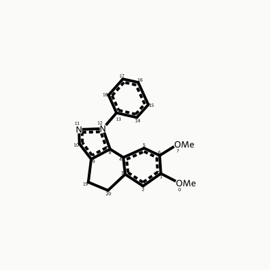 COc1cc2c(cc1OC)-c1c(cnn1-c1ccccc1)CC2